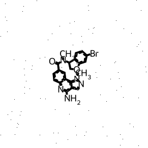 CN(C(=O)c1ccc2nc(N)c3cnn(C)c3c2c1)C1COc2cc(Br)ccc21